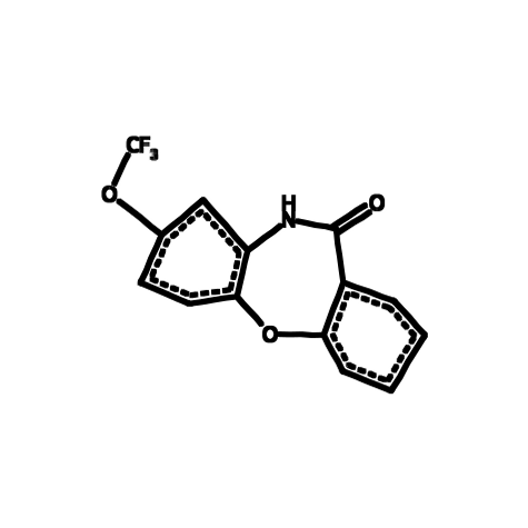 O=C1Nc2cc(OC(F)(F)F)ccc2Oc2ccccc21